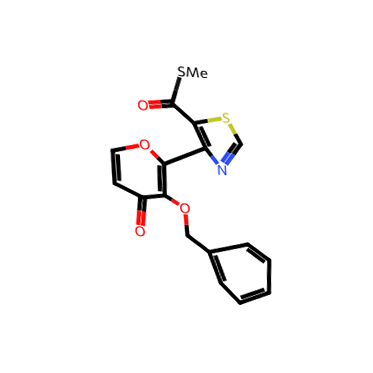 CSC(=O)c1scnc1-c1occc(=O)c1OCc1ccccc1